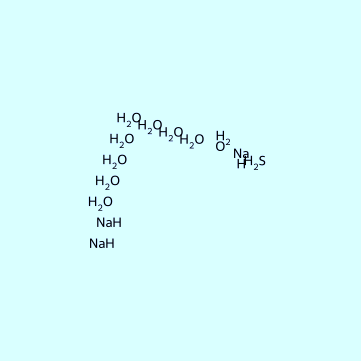 O.O.O.O.O.O.O.O.O.S.[NaH].[NaH].[NaH]